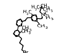 C=Cc1cc(CCc2cccc(-c3cccc(CCCCBr)c3C)c2C)c(C)cc1CN(C)CC(C)(C)C